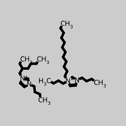 CCCCC(CC)C[n+]1ccn(CCCC)c1.CCCCCCCCCCCC[N+]1(CCCC)C=CN(CCCC)C1